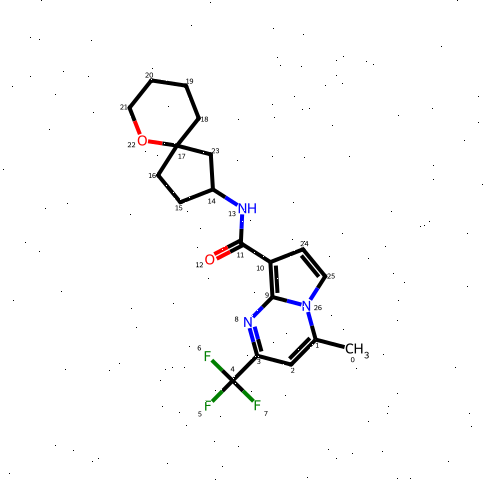 Cc1cc(C(F)(F)F)nc2c(C(=O)NC3CCC4(CCCCO4)C3)ccn12